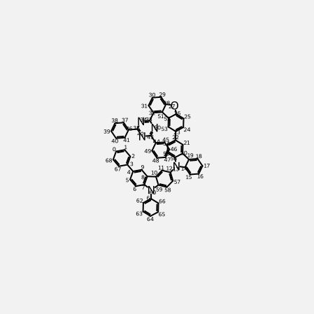 c1ccc(-c2ccc3c(c2)c2cc(-n4c5ccccc5c5cc(-c6ccc7oc8cccc(-c9nc(-c%10ccccc%10)nc(-c%10ccccc%10)n9)c8c7c6)ccc54)ccc2n3-c2ccccc2)cc1